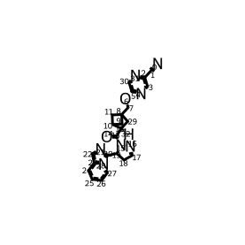 N#Cc1cnc(OCC23CC(C2)[C@@H](C(=O)N2N=CCC2c2ncc4ccccn24)C3)cn1